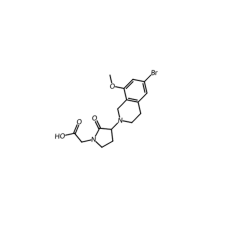 COc1cc(Br)cc2c1CN(C1CCN(CC(=O)O)C1=O)CC2